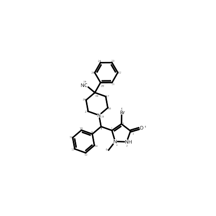 Cn1[nH]c(=O)c(Br)c1C(c1ccccc1)N1CCC(C#N)(c2ccccc2)CC1